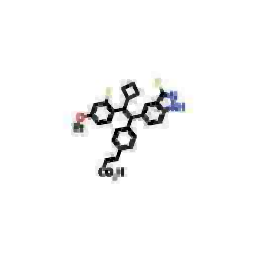 CCOc1ccc(C(=C(c2ccc(C=CC(=O)O)cc2)c2ccc3[nH]nc(F)c3c2)C2CCC2)c(F)c1